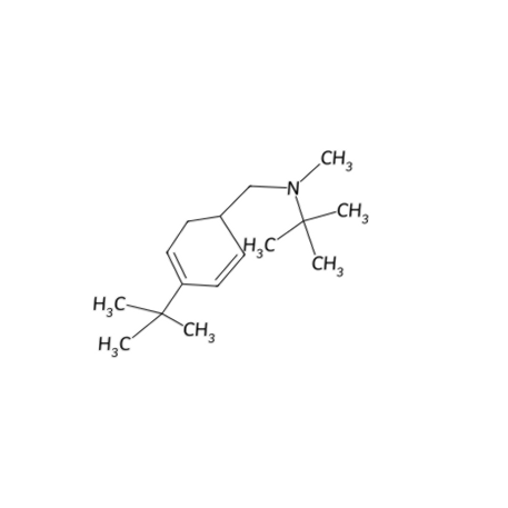 CN(CC1C=CC(C(C)(C)C)=CC1)C(C)(C)C